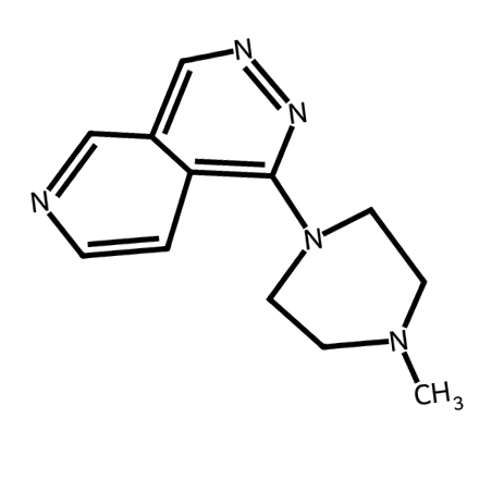 CN1CCN(c2nncc3cnccc23)CC1